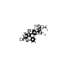 CCn1cnc2c(c(-c3ccccc3)c(-c3ccc([C@]4(N)C[C@@](C)(O)C4)cc3)n2C)c1=O